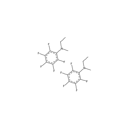 CCN(C)c1c(F)c(F)c(F)c(F)c1F.CCN(C)c1c(F)c(F)c(F)c(F)c1F